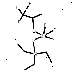 CC[Si](CC)(CC)[O][Zn]([F])([F])([F])[O]C(C)C(F)(F)F